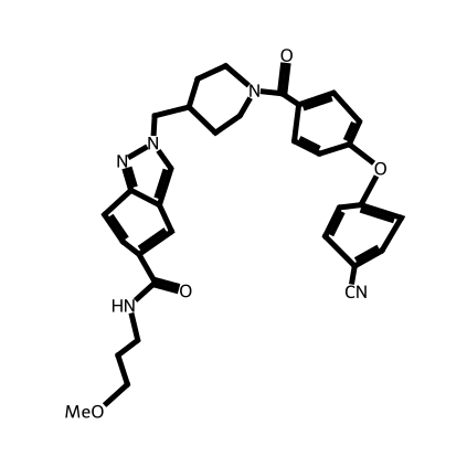 COCCCNC(=O)c1ccc2nn(CC3CCN(C(=O)c4ccc(Oc5ccc(C#N)cc5)cc4)CC3)cc2c1